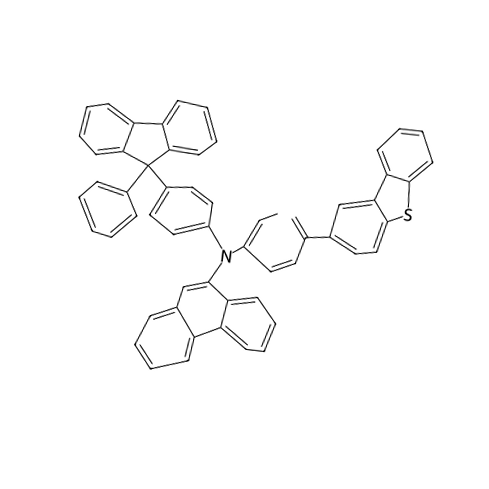 C=C(/C=C\C(=C/C)N(c1ccc(C2(c3ccccc3)c3ccccc3-c3ccccc32)cc1)c1cc2ccccc2c2ccccc12)c1ccc2sc3ccccc3c2c1